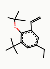 C=Cc1cc(CC)cc(C(C)(C)C)c1OC(C)(C)C